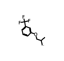 [CH2]C(C)COc1cccc(C(F)(F)F)c1